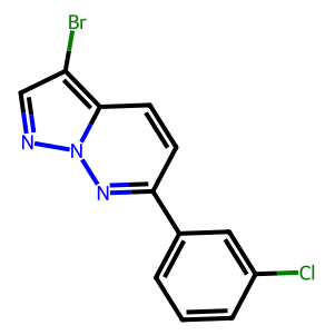 Clc1cccc(-c2ccc3c(Br)cnn3n2)c1